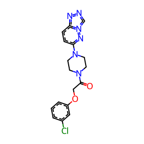 O=C(COc1cccc(Cl)c1)N1CCN(c2ccc3nncn3n2)CC1